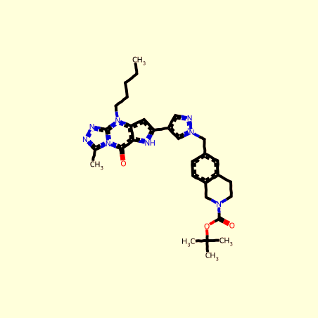 CCCCCn1c2cc(-c3cnn(Cc4ccc5c(c4)CCN(C(=O)OC(C)(C)C)C5)c3)[nH]c2c(=O)n2c(C)nnc12